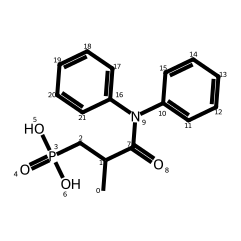 CC(CP(=O)(O)O)C(=O)N(c1ccccc1)c1ccccc1